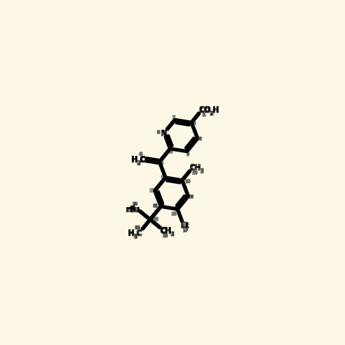 C=C(c1ccc(C(=O)O)cn1)c1cc(C(C)(C)CCCC)c(CC)cc1C